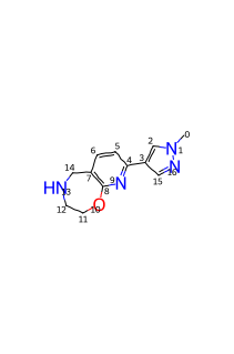 Cn1cc(-c2ccc3c(n2)OCCNC3)cn1